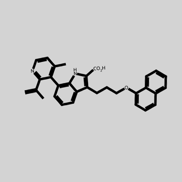 C=C(C)c1nccc(C)c1-c1cccc2c(CCCOc3cccc4ccccc34)c(C(=O)O)[nH]c12